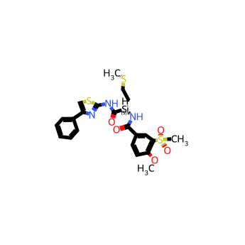 COc1ccc(C(=O)N[Si@@H](CCSC)C(=O)Nc2nc(-c3ccccc3)cs2)cc1S(C)(=O)=O